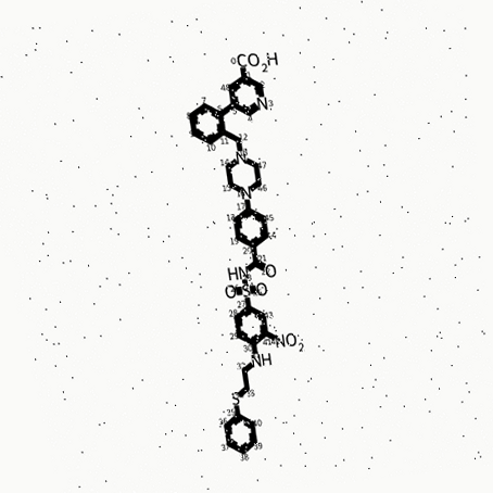 O=C(O)c1cncc(-c2ccccc2CN2CCN(c3ccc(C(=O)NS(=O)(=O)c4ccc(NCCSc5ccccc5)c([N+](=O)[O-])c4)cc3)CC2)c1